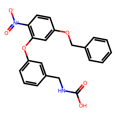 O=C(O)NCc1cccc(Oc2cc(OCc3ccccc3)ccc2[N+](=O)[O-])c1